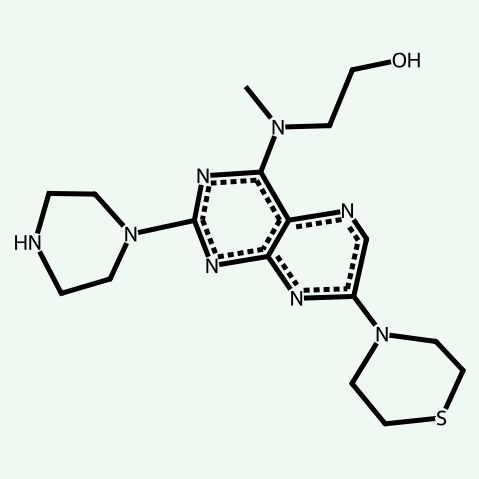 CN(CCO)c1nc(N2CCNCC2)nc2nc(N3CCSCC3)cnc12